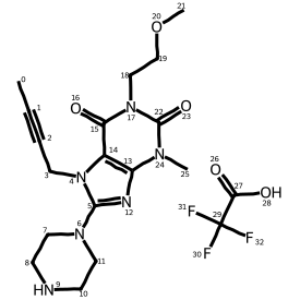 CC#CCn1c(N2CCNCC2)nc2c1c(=O)n(CCOC)c(=O)n2C.O=C(O)C(F)(F)F